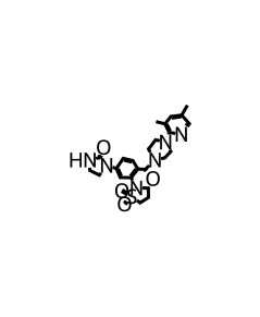 Cc1cnc(N2CCN(C(=O)c3ccc(N4CCNC4=O)cc3N3CCCS3(=O)=O)CC2)c(C)c1